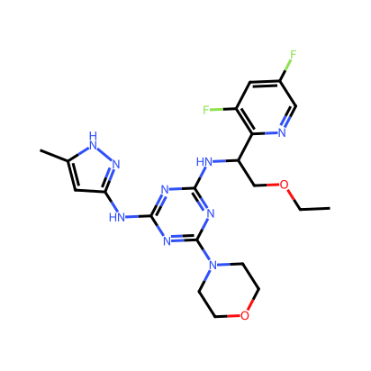 CCOCC(Nc1nc(Nc2cc(C)[nH]n2)nc(N2CCOCC2)n1)c1ncc(F)cc1F